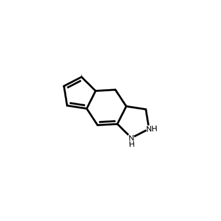 [C]1=CC=C2C=C3NNCC3CC12